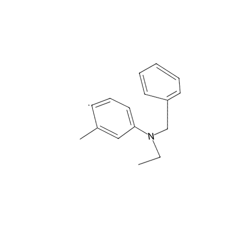 CCN(Cc1ccccc1)c1cc[c]c(C)c1